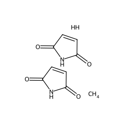 C.O=C1C=CC(=O)N1.O=C1C=CC(=O)N1.[HH]